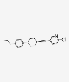 CCCc1ccc([C@H]2CC[C@H](C#Cc3ccc(Cl)nc3)CC2)cc1